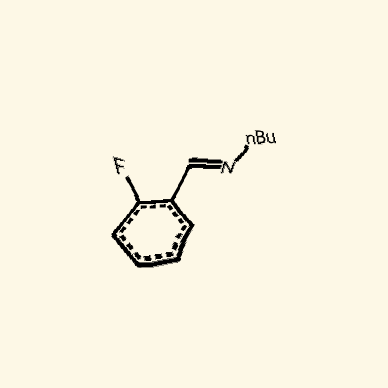 CCCCN=Cc1ccccc1F